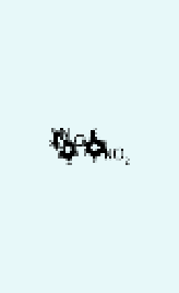 Cc1cc([N+](=O)[O-])ccc1Oc1cccn2ccnc12